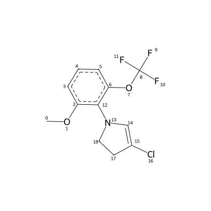 COc1cccc(OC(F)(F)F)c1N1C=C(Cl)CC1